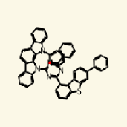 c1ccc(-c2ccc3c(c2)sc2cccc(-c4nc(-c5ccccc5)nc(-n5c6ccccc6c6ccc7c8ccccc8n(-c8ccccc8)c7c65)n4)c23)cc1